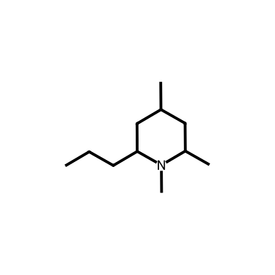 CCCC1CC(C)CC(C)N1C